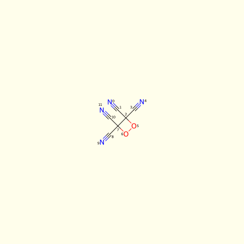 N#CC1(C#N)OOC1(C#N)C#N